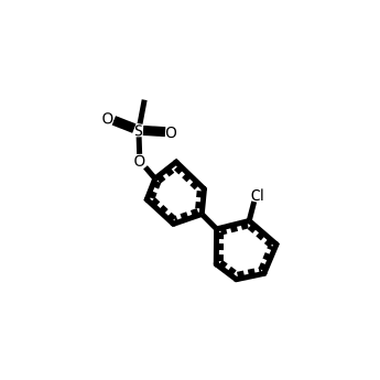 CS(=O)(=O)Oc1ccc(-c2ccccc2Cl)cc1